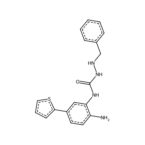 Nc1ccc(-c2cccs2)cc1NC(=O)NNCc1ccccc1